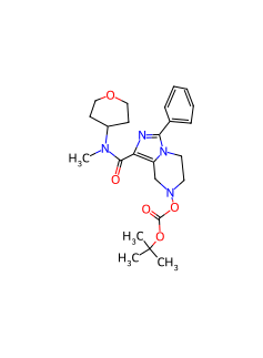 CN(C(=O)c1nc(-c2ccccc2)n2c1CN(OC(=O)OC(C)(C)C)CC2)C1CCOCC1